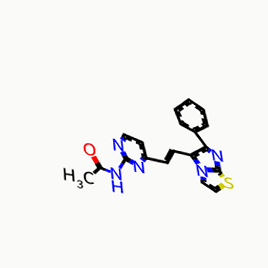 CC(=O)Nc1nccc(C=Cc2c(-c3ccccc3)nc3sccn23)n1